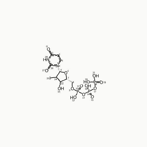 O=c1ccn([C@@H]2O[C@H](COP(=O)(O)OP(=O)(O)OP(=O)(O)O)C(O)C2I)c(=O)[nH]1